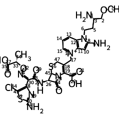 COC[C@@H](N)CCn1c(N)cc2c1ccc[n+]2CC1=C(C(=O)O)N2C(=O)[C@@H](NC(=O)/C(=N\O[C@@H](C)C(=O)O)c3nc(N)sc3Cl)C2SC1